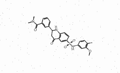 COc1cc(NS(=O)(=O)c2ccc3c(c2)C(=O)CC(c2cccc(C(=O)N(C)C)c2)N3)ccc1C